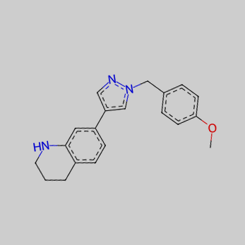 COc1ccc(Cn2cc(-c3ccc4c(c3)NCCC4)cn2)cc1